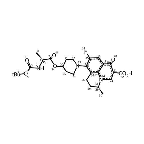 C[C@H](NC(=O)OC(C)(C)C)C(=O)OC1CCN(c2c(F)cc3c(=O)c(C(=O)O)cn4c3c2CC[C@@H]4C)CC1